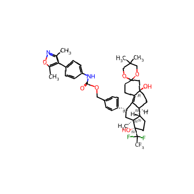 Cc1noc(C)c1-c1ccc(NC(=O)OCc2ccc([C@H]3C[C@@]4(C)[C@@H](CC[C@@]4(O)C(F)(F)C(F)(F)F)[C@@H]4CC[C@@]5(O)CC6(CCC5=C43)OCC(C)(C)CO6)cc2)cc1